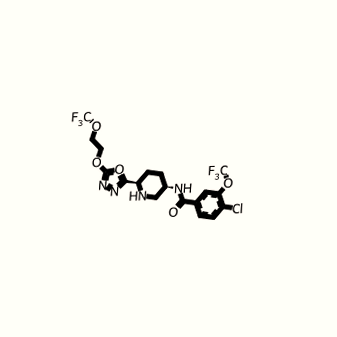 O=C(N[C@H]1CC[C@H](c2nnc(OCCOC(F)(F)F)o2)NC1)c1ccc(Cl)c(OC(F)(F)F)c1